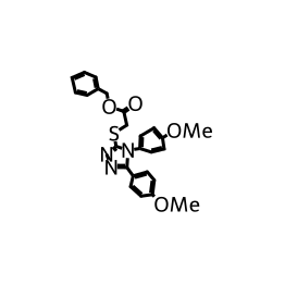 COc1ccc(-c2nnc(SCC(=O)OCc3ccccc3)n2-c2ccc(OC)cc2)cc1